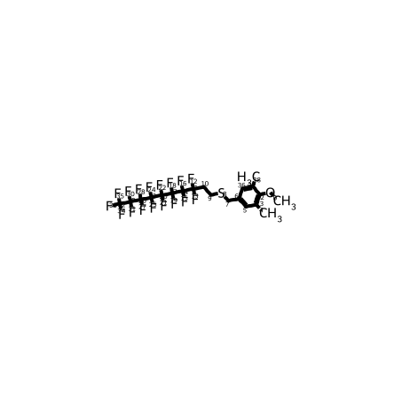 COc1c(C)cc(CSCCC(F)(F)C(F)(F)C(F)(F)C(F)(F)C(F)(F)C(F)(F)C(F)(F)C(F)(F)F)cc1C